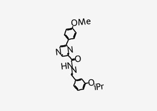 COc1ccc(-c2cncc(C(=O)N/N=C/c3cccc(OC(C)C)c3)n2)cc1